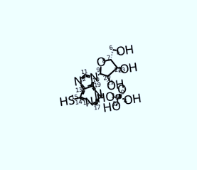 O=P(O)(O)O.OC[C@H]1O[C@@H](n2cnc3c(S)ncnc32)[C@H](O)[C@@H]1O